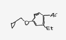 CCc1cc(OCC2CC2)ccc1C(C)=O